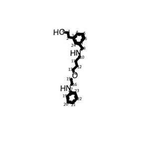 OCCc1cccc(CNCCCCOCCNc2ccccc2)c1